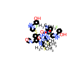 CSC(C)(C)c1cc(NC(=O)N(Cc2ccccc2Sc2ccc3nnc(-c4cc(O)ccc4F)n3c2)N(C(=O)NCc2ccccc2Sc2ccc3nnc(-c4cc(F)ccc4O)n3c2)c2cc(C(C)(C)SC)nn2-c2cccc(CN(C)C)c2)n(-c2cccc(CN3CCOCC3)c2)n1